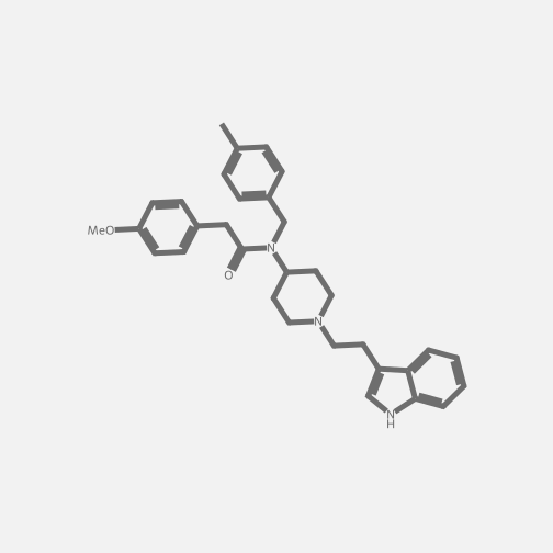 COc1ccc(CC(=O)N(Cc2ccc(C)cc2)C2CCN(CCc3c[nH]c4ccccc34)CC2)cc1